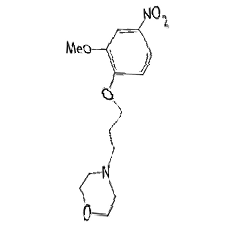 COc1cc([N+](=O)[O-])ccc1OCCCN1CCOCC1